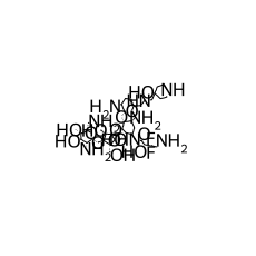 NC[C@@H]1O[C@H](O[C@H]2[C@@H](O)[C@H](O[C@@H]3[C@@H](O)[C@H](NC(=O)C(O)C(F)(F)CN)C[C@H](N)[C@H]3O[C@H]3OC(CNCC4(O)CCNCC4)=CC[C@H]3N)O[C@@H]2CO)[C@H](N)[C@@H](O)[C@@H]1O